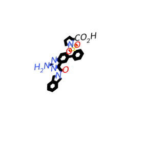 Nc1nc(C(=O)N2Cc3ccccc3C2)c2cc(-c3ccccc3S(=O)(=O)N3CCCC3C(=O)O)ccc2n1